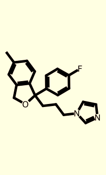 Cc1ccc2c(c1)COC2(CCCn1ccnc1)c1ccc(F)cc1